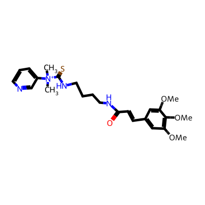 COc1cc(/C=C/C(=O)NCCCCNC(=S)[N+](C)(C)c2cccnc2)cc(OC)c1OC